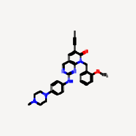 CC#Cc1cc2cnc(Nc3ccc(N4CCN(C)CC4)cc3)nc2n(Cc2ccccc2OC(F)(F)F)c1=O